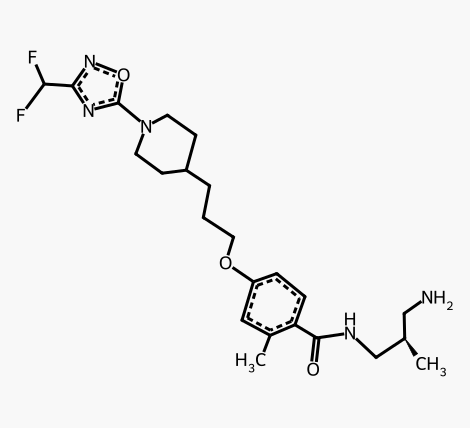 Cc1cc(OCCCC2CCN(c3nc(C(F)F)no3)CC2)ccc1C(=O)NC[C@H](C)CN